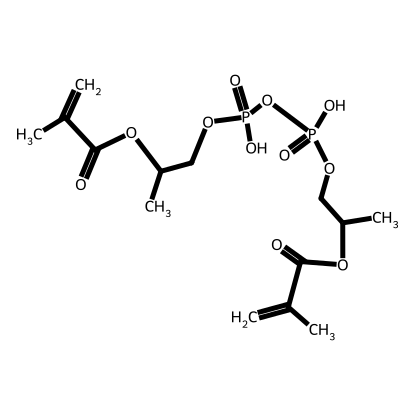 C=C(C)C(=O)OC(C)COP(=O)(O)OP(=O)(O)OCC(C)OC(=O)C(=C)C